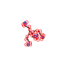 CC(C)(CCOC(C)(C)C(=O)CCCC(=O)ON1C(=O)CCC1=O)OCC(COC(C)(C)CCOC(C)(C)C(=O)CCCC(=O)ON1C(=O)CCC1=O)(COC(C)(C)CCOC(C)(C)C(=O)CCCC(=O)ON1C(=O)CCC1=O)COC(C)(C)COC(C)(C)C(=O)CCCC(=O)ON1C(=O)CCC1=O